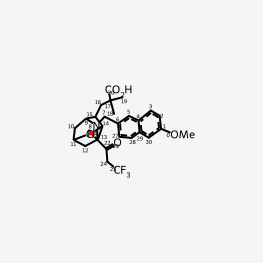 COc1ccc2cc(CN3C4CC5CC3C(C4CC(C)(C)C(=O)O)N(C(=O)CC(F)(F)F)C5)ccc2c1